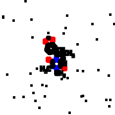 C[C@H]1C(=O)N2C(c3ccc4c(c3)OCO4)[C@@](C)(C#N)C[C@H]2C(=O)N1C